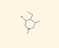 CCC1C(C)CN(C)CC1F